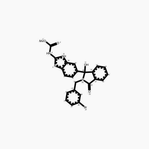 COC(=O)Nc1nc2ccc(C3(O)c4ccccc4C(=O)N3Cc3cccc(Br)c3)cc2[nH]1